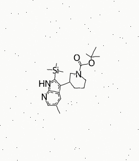 Cc1cnc2[nH]c([Si](C)(C)C)c(C3CCCN(C(=O)OC(C)(C)C)C3)c2c1